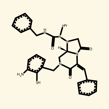 CCCN(C(=O)NCc1ccccc1)N1CC(=O)N2/C(=C/c3ccccc3)C(=O)N(Cc3cccc(N)c3S)C[C@@H]21